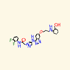 O=C(Cn1cc(Nc2ncnc3cc(OCCCN[C@H]4CCCC[C@@H]4CO)ccc23)cn1)Nc1cccc(F)c1F